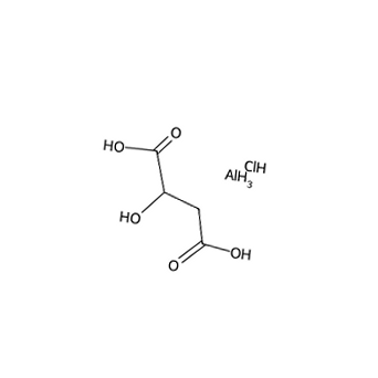 Cl.O=C(O)CC(O)C(=O)O.[AlH3]